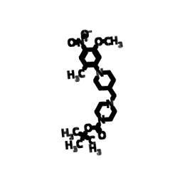 COc1cc(N2CCC(CN3CCN(C(=O)OC(C)(C)C)CC3)CC2)c(C)cc1[N+](=O)[O-]